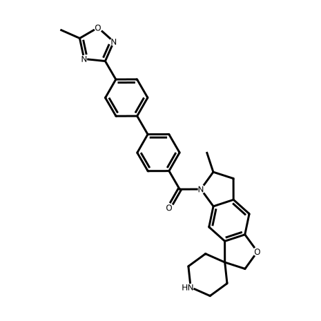 Cc1nc(-c2ccc(-c3ccc(C(=O)N4c5cc6c(cc5CC4C)OCC64CCNCC4)cc3)cc2)no1